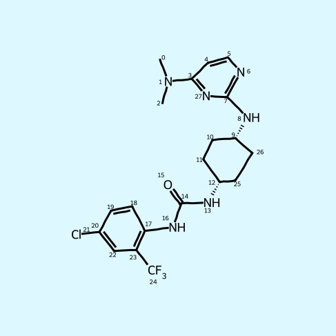 CN(C)c1ccnc(N[C@H]2CC[C@@H](NC(=O)Nc3ccc(Cl)cc3C(F)(F)F)CC2)n1